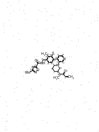 C=CC(=O)N(C)C1CCCN(c2cnccc2-c2ccc(CNC(=O)c3nc(C(C)(C)C)no3)c(C)c2F)C1